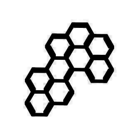 c1cc2ccc3c4ccc5ccc6ccc7cccc8c7c6c5c4c8c4ccc(c1)c2c34